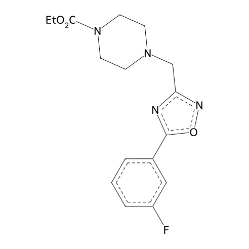 CCOC(=O)N1CCN(Cc2noc(-c3cccc(F)c3)n2)CC1